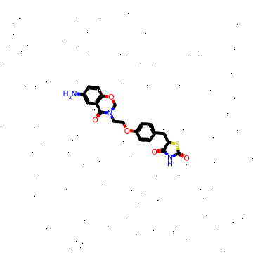 Nc1ccc2c(c1)C(=O)N(CCOc1ccc(CC3SC(=O)NC3=O)cc1)CO2